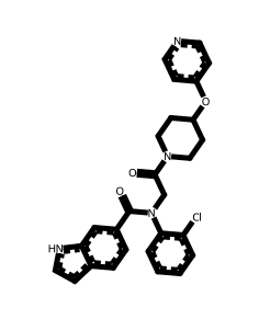 O=C(CN(C(=O)c1ccc2cc[nH]c2c1)c1ccccc1Cl)N1CCC(Oc2ccncc2)CC1